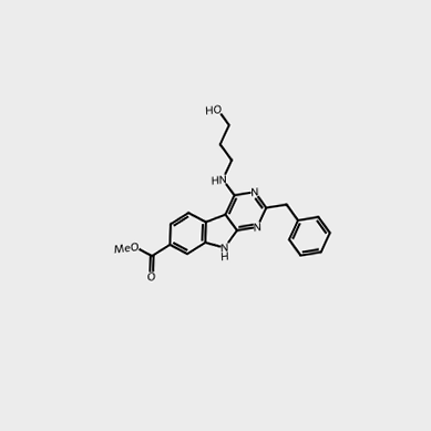 COC(=O)c1ccc2c(c1)[nH]c1nc(Cc3ccccc3)nc(NCCCO)c12